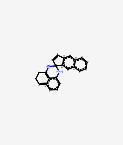 C1=CC2(NC3=c4c(cccc4=CCC3)N2)c2cc3ccccc3cc21